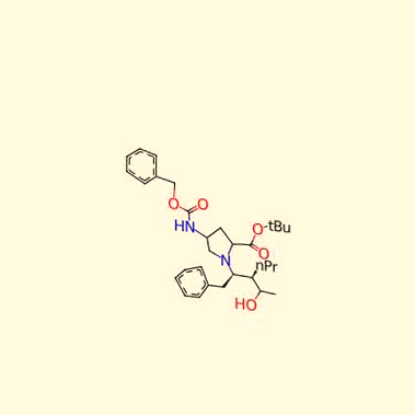 CCC[C@@H](C(C)O)[C@@H](Cc1ccccc1)N1CC(NC(=O)OCc2ccccc2)CC1C(=O)OC(C)(C)C